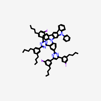 CCCCc1cc(I)cc(-c2cc(-c3cc(I)cc(CCCC)c3)nc(-c3ccc(-n4c5ccccc5c5cc6c7ccccc7n(-c7ccccc7)c6cc54)c(-c4nc(-c5cc(I)cc(CCCC)c5)nc(-c5cc(CCCC)cc(CCCC)c5)n4)c3)n2)c1